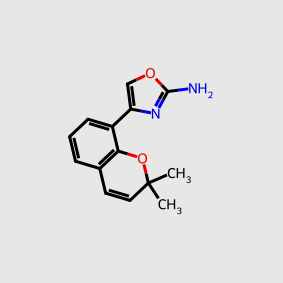 CC1(C)C=Cc2cccc(-c3coc(N)n3)c2O1